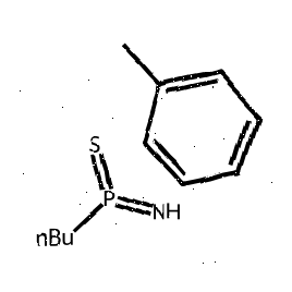 CCCCP(=N)=S.Cc1ccccc1